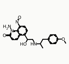 COc1ccc(CC(C)NCC(O)c2ccc(N=O)c3c2ccc(=O)n3N)cc1